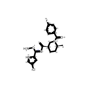 C=C(/N=C(\ON)c1cc(Cl)c[nH]1)[C@@H]1CC[C@H](C)N(C(=O)c2ccc(F)cc2)C1